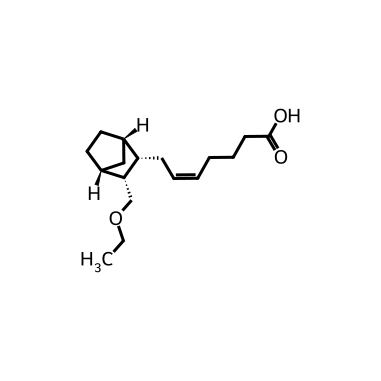 CCOC[C@@H]1[C@@H]2CC[C@@H](C2)[C@@H]1C/C=C\CCCC(=O)O